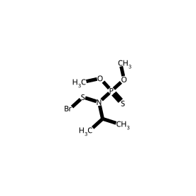 COP(=S)(OC)N(SBr)C(C)C